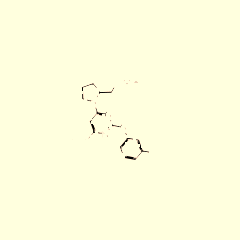 CCCc1cc(N2CCCC2COC)nc(Nc2cccc(C(F)(F)F)c2)n1